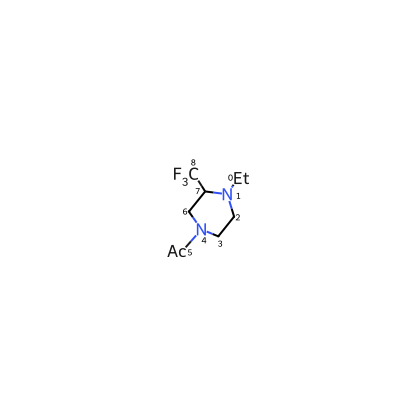 CCN1CCN(C(C)=O)CC1C(F)(F)F